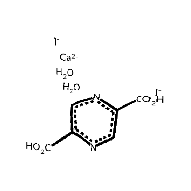 O.O.O=C(O)c1cnc(C(=O)O)cn1.[Ca+2].[I-].[I-]